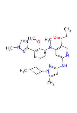 CCC(=O)c1cnc(Nc2cc(C)n([C@H]3C[C@@H](C)C3)n2)cc1N(C)c1cccc(-c2ncn(C)n2)c1OC